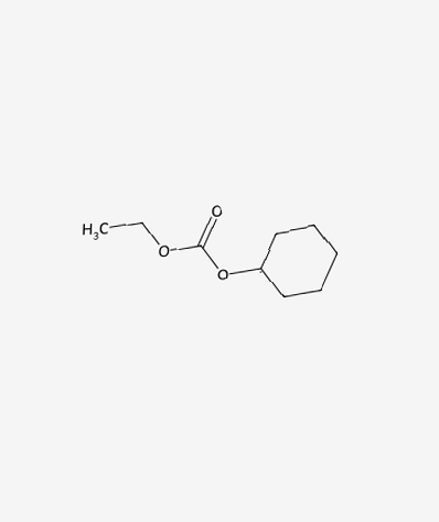 CCOC(=O)O[C]1CCCCC1